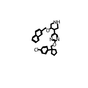 Clc1ccc(C2(COc3ncc(C4CCNCC4OCc4ccc5ccccc5c4)cn3)CCCC2)cc1